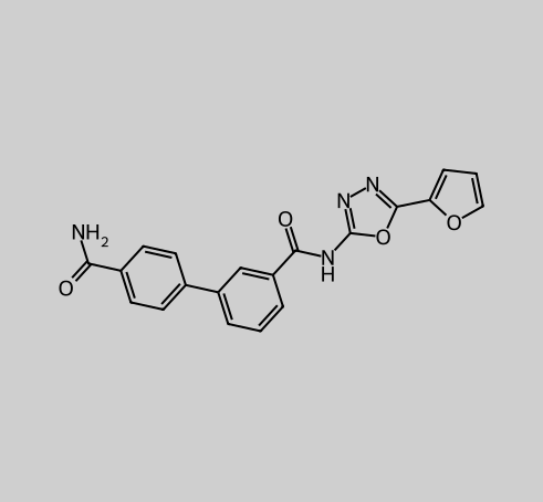 NC(=O)c1ccc(-c2cccc(C(=O)Nc3nnc(-c4ccco4)o3)c2)cc1